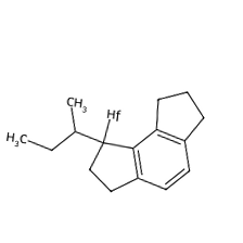 CCC(C)[C]1([Hf])CCc2ccc3c(c21)CCC3